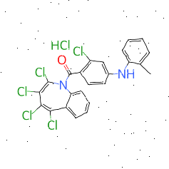 Cc1ccccc1Nc1ccc(C(=O)N2C(Cl)=C(Cl)C(Cl)=C(Cl)c3ccccc32)c(Cl)c1.Cl